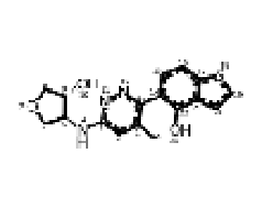 Cc1cc(N[C@H]2COC[C@@H]2O)nnc1-c1ccc2sccc2c1O